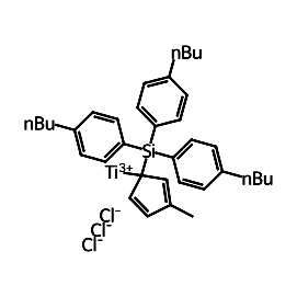 CCCCc1ccc([Si](c2ccc(CCCC)cc2)(c2ccc(CCCC)cc2)[C]2([Ti+3])C=CC(C)=C2)cc1.[Cl-].[Cl-].[Cl-]